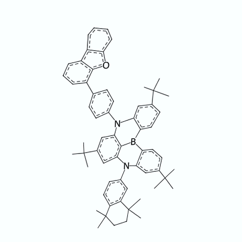 CC(C)(C)c1ccc2c(c1)N(c1ccc(-c3cccc4c3oc3ccccc34)cc1)c1cc(C(C)(C)C)cc3c1B2c1ccc(C(C)(C)C)cc1N3c1ccc2c(c1)C(C)(C)CCC2(C)C